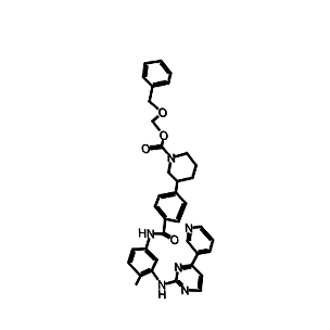 Cc1ccc(NC(=O)c2ccc(C3CCCN(C(=O)OCOCc4ccccc4)C3)cc2)cc1Nc1nccc(-c2cccnc2)n1